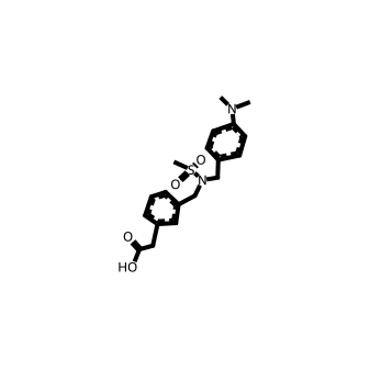 CN(C)c1ccc(CN(Cc2cccc(CC(=O)O)c2)S(C)(=O)=O)cc1